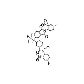 Cc1ccc(N2C(=O)c3ccc(C(C)(c4ccc5c(c4)C(=O)N(c4ccc(F)cc4[N+](=O)[O-])C5=O)C(F)(F)F)cc3C2=O)c([N+](=O)[O-])c1